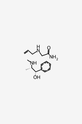 C=CCNCC(N)=O.CN[C@@H](C)[C@@H](O)c1ccccc1